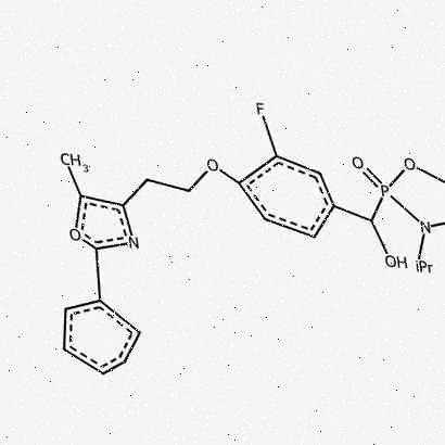 Cc1oc(-c2ccccc2)nc1CCOc1ccc(C(O)P2(=O)OCCN2C(C)C)cc1F